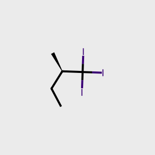 CC[C@@H](C)C(I)(I)I